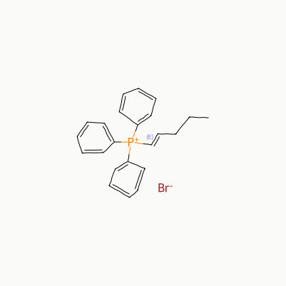 CCC/C=C/[P+](c1ccccc1)(c1ccccc1)c1ccccc1.[Br-]